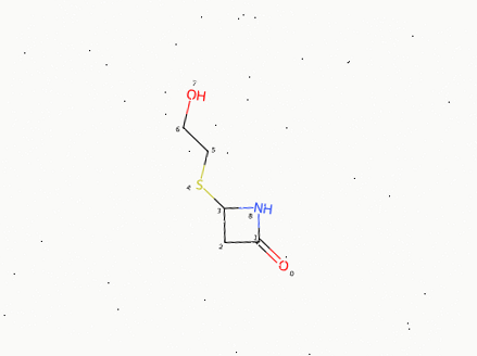 O=C1CC(SCCO)N1